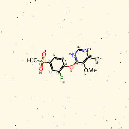 COc1c(Oc2ccc(S(C)(=O)=O)cc2F)ncnc1C(C)C